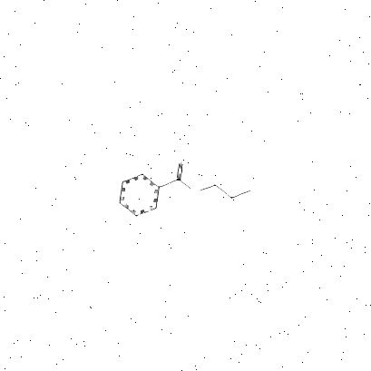 CCCOC(=O)c1ccccc1